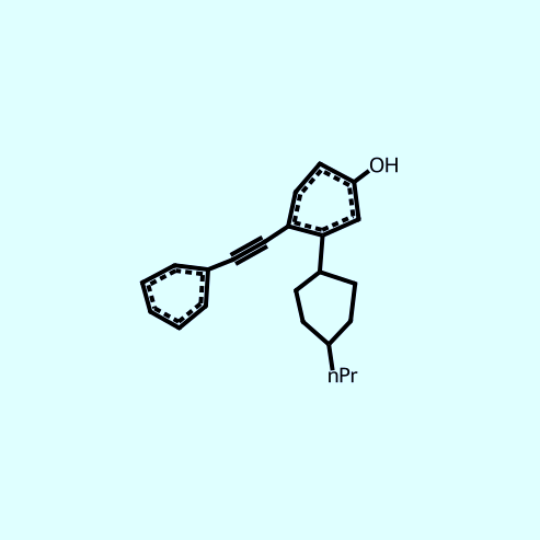 CCCC1CCC(c2cc(O)ccc2C#Cc2ccccc2)CC1